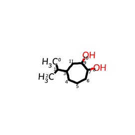 CC(C)C1CCCC(O)C(O)C1